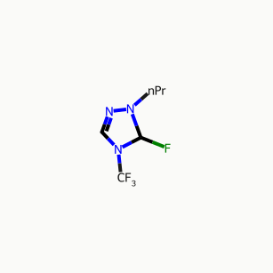 CCCN1N=CN(C(F)(F)F)C1F